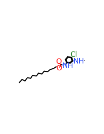 CCCCCCCCCCCCCCOC(=O)Nc1ccc(Cl)c([NH])c1